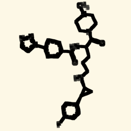 CN1CCN(C(=O)C(CCCN[C@H]2C[C@H]2c2ccc(F)cc2)NC(=O)c2ccc(-n3ccnn3)cc2)CC1